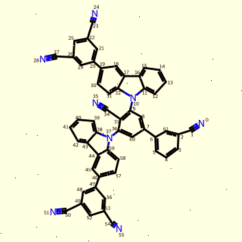 N#Cc1cccc(-c2cc(-n3c4ccccc4c4cc(-c5cc(C#N)cc(C#N)c5)ccc43)c(C#N)c(-n3c4ccccc4c4cc(-c5cc(C#N)cc(C#N)c5)ccc43)c2)c1